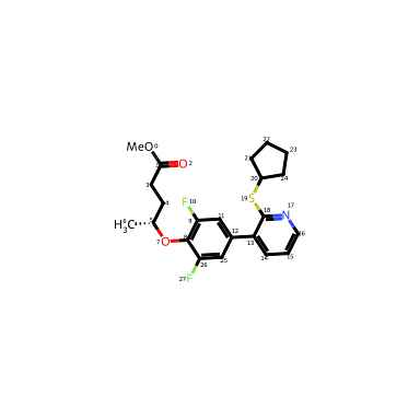 COC(=O)CC[C@@H](C)Oc1c(F)cc(-c2cccnc2SC2CCCC2)cc1F